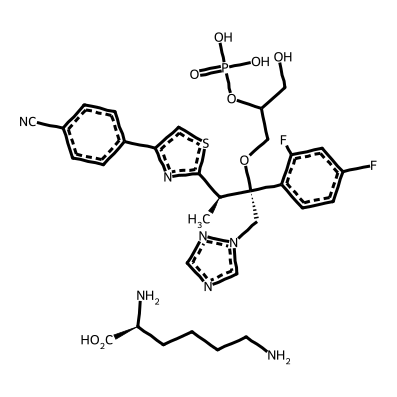 C[C@@H](c1nc(-c2ccc(C#N)cc2)cs1)[C@@](Cn1cncn1)(OCC(CO)OP(=O)(O)O)c1ccc(F)cc1F.NCCCC[C@H](N)C(=O)O